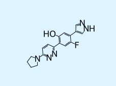 Oc1cc(-c2cn[nH]c2)c(F)cc1-c1ccc(N2CCCC2)nn1